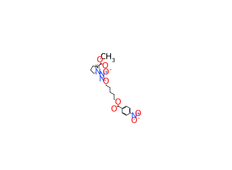 COC(=O)[C@@H]1CCCN1[N+]([O-])=NOCCCCCOC(=O)c1ccc([N+](=O)[O-])cc1